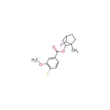 COc1cc(C(=O)OC2CC3CCC2(C)C3I)ccc1F